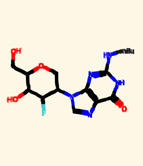 CCCCNc1nc2c(ncn2C2COC(CO)C(O)C2F)c(=O)[nH]1